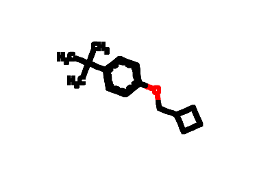 CC(C)(C)c1ccc(OCC2CCC2)cc1